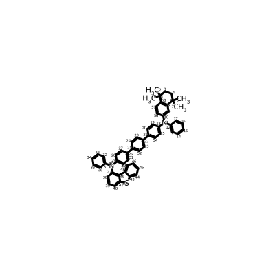 CC1(C)CCC(C)(C)c2cc(N(c3ccccc3)c3ccc(-c4ccc(-c5ccc(N(c6ccccc6)c6cccc7sc8ccccc8c67)cc5)cc4)cc3)ccc21